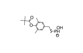 Cc1cc(CS[PH](=O)O)cc(C)c1OC(=O)C(C)(C)C